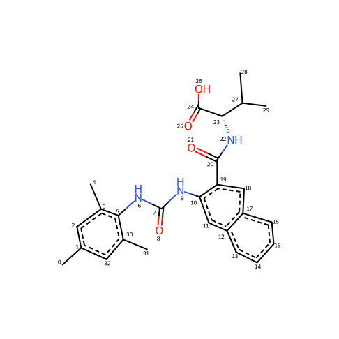 Cc1cc(C)c(NC(=O)Nc2cc3ccccc3cc2C(=O)N[C@H](C(=O)O)C(C)C)c(C)c1